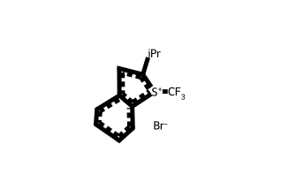 CC(C)c1cc2ccccc2[s+]1C(F)(F)F.[Br-]